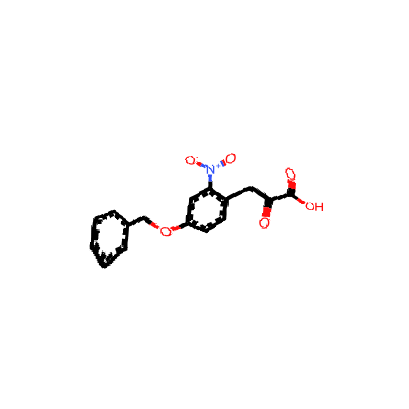 O=C(O)C(=O)Cc1ccc(OCc2ccccc2)cc1[N+](=O)[O-]